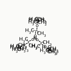 CCC/C(C#Cc1ccc(C#C[Si](C(C)C)(C(C)C)C(C)C)cc1)=C(\C#Cc1ccc(N(c2ccc(C#C/C(CCC)=C(/C#Cc3ccc(C#C[Si](C(C)C)(C(C)C)C(C)C)cc3)CCC)cc2)c2ccc(C#C/C(CCC)=C(/C#Cc3ccc(C#C[Si](C(C)C)(C(C)C)C(C)C)cc3)CCC)cc2)cc1)CCC